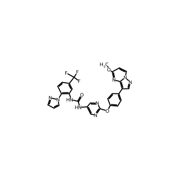 COc1ccn2ncc(-c3ccc(Oc4ncc(NC(=O)Nc5cc(C(F)(F)F)ccc5-n5cccn5)cn4)cc3)c2n1